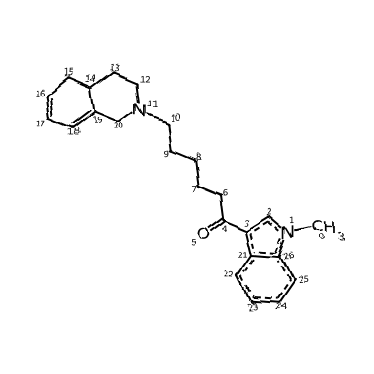 Cn1cc(C(=O)CCCCCN2CCC3CC=CC=C3C2)c2ccccc21